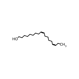 CC/C=C\CCCC/C=C\CCCCCCCCO